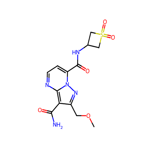 COCc1nn2c(C(=O)NC3CS(=O)(=O)C3)ccnc2c1C(N)=O